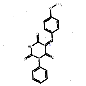 COc1ccc(/C=C2\C(=O)NC(=S)N(c3ccccc3)C2=O)cc1